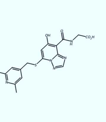 Cc1cc(CSc2cc(O)c(C(=O)NCC(=O)O)c3ncnn23)cc(C)n1